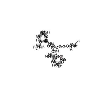 N=C(N)NCCC[C@@H]1NC(=O)[C@H](CCCCNC(=O)CCN(CCC(=O)NCCCC[C@@H]2NC(=O)N(Cc3ccccc3)NC(=O)[C@H](CC(=O)O)NC(=O)CNC(=O)[C@H](CCCNC(=N)N)NC2=O)C(=O)CCOCCOCCOCCOCCNC(=O)Cn2cc(CCCI)nn2)NC(=O)N(Cc2ccccc2)NC(=O)[C@H](CC(=O)O)NC(=O)CNC1=O